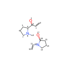 C=CC(=O)C1CCCN1C.C=CN1CCCC1=O